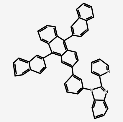 c1ccc(-c2nc3ccccc3n2-c2cccc(-c3ccc4c(-c5ccc6ccccc6c5)c5ccccc5c(-c5ccc6ccccc6c5)c4c3)c2)nc1